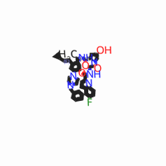 C[C@H](NC(=O)[C@@H]1C[C@@H](O)CN1C(=O)CNC(=O)c1ccc2cc(F)ccc2n1)c1ccc(N2CCN(Cc3ccccc3)CC2)cc1/C=C/C1CC1